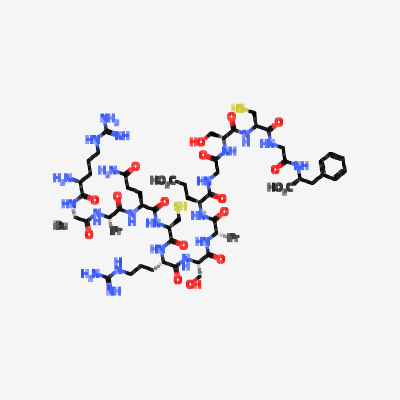 CC[C@H](C)[C@H](NC(=O)[C@@H](N)CCCNC(=N)N)C(=O)N[C@H](C(=O)N[C@@H](CCC(N)=O)C(=O)N[C@@H](CS)C(=O)N[C@@H](CCCNC(=N)N)C(=O)N[C@@H](CO)C(=O)N[C@H](C(=O)N[C@@H](CCC(=O)O)C(=O)NCC(=O)N[C@@H](CO)C(=O)N[C@@H](CS)C(=O)NCC(=O)N[C@@H](Cc1ccccc1)C(=O)O)C(C)C)C(C)C